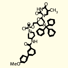 COc1ccc(-c2cccc(C(=O)NC3CCN(P(=O)(Cl)OCC4CN(C(c5ccccc5)(c5ccccc5)c5ccccc5)CC(n5cc(C)c(=O)[nH]c5=O)O4)CC3)c2)cc1